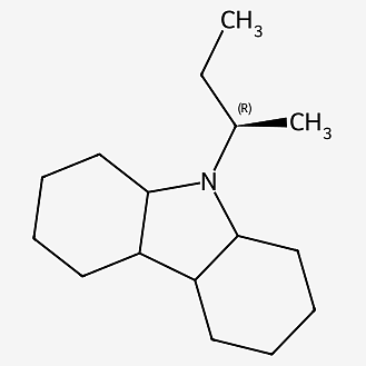 CC[C@@H](C)N1C2CCCCC2C2CCCCC21